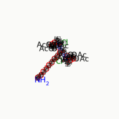 CC(=O)OC[C@H]1O[C@@H](Oc2cc3c(c4ccccc24)[C@H](CCl)CN3C(=O)/C=C/c2ccc(/C=C/C(=O)N3C[C@@H](CCl)c4c3cc(O[C@@H]3O[C@H](COC(C)=O)[C@H](OC(C)=O)[C@H](OC(C)=O)[C@H]3OC(C)=O)c3ccccc43)c(OCCOCCOCCOCCOCCOCCOCCOCCON)c2)[C@H](OC(C)=O)[C@@H](OC(C)=O)[C@H]1OC(C)=O